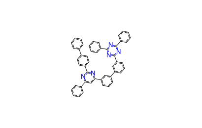 c1ccc(-c2ccc(-c3nc(-c4ccccc4)cc(-c4cccc(-c5cccc(-c6nc(-c7ccccc7)nc(-c7ccccc7)n6)c5)c4)n3)cc2)cc1